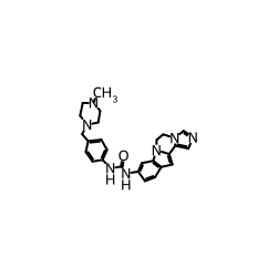 CN1CCN(Cc2ccc(NC(=O)Nc3ccc4cc5n(c4c3)CCn3cncc3-5)cc2)CC1